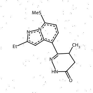 CCc1cc2c(C3=NNC(=O)CC3C)ccc(SC)n2n1